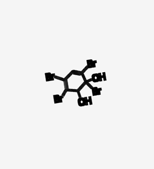 OC1C(Br)=C(Br)C=C(Br)C1(O)Br